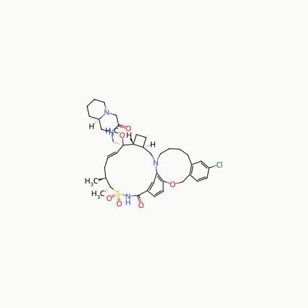 CO[C@]1(CN2C[C@H]3CCCCN3CC2=O)/C=C/C[C@H](C)[C@@H](C)S(=O)(=O)NC(=O)c2ccc3c(c2)N(CCCCc2cc(Cl)ccc2CO3)C[C@@H]2CC[C@H]21